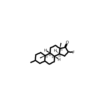 CC1CC[C@@]2(C)C(CC[C@@H]3[C@H]2CC[C@]2(C)C(=O)C(F)C[C@@H]32)C1